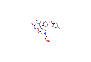 O=C1NC(=O)C(c2ccc(Oc3ccc(I)cc3)cc2)(N2CCN(CCO)CC2)C(=O)N1